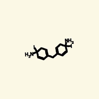 NC1(I)C=CC(CC2=CCC(N)(I)C=C2)=CC1